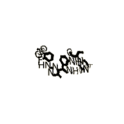 CCC(C(=O)Nc1cccc2c(-c3nc(Nc4cccc(S(C)(=O)=O)c4F)ncc3C)c[nH]c12)N1C[C@H](C)N(C)[C@@H](C)C1